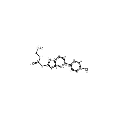 CC(=O)OCOC(=O)Cc1cn2nc(-c3ccc(Cl)cc3)ccc2n1